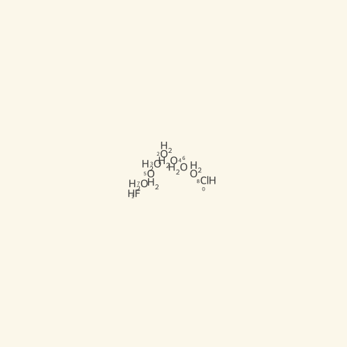 Cl.F.O.O.O.O.O.O.O